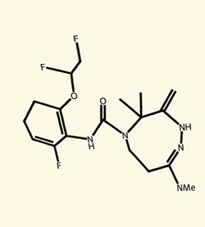 C=C1N/N=C(/NC)CCN(C(=O)NC2=C(OC(F)CF)CCC=C2F)C1(C)C